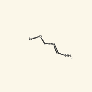 CC(=O)OCC=CN